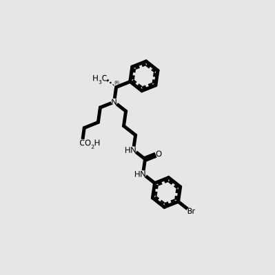 C[C@H](c1ccccc1)N(CCCNC(=O)Nc1ccc(Br)cc1)CCCC(=O)O